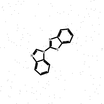 c1ccc2sc(-n3cnc4ccccc43)nc2c1